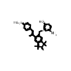 C/C(=C\c1ccc(C(=O)O)cc1)c1cc2c(cc1CC(C)C)C(C)(C)C(C)C2(C)C.Nc1ccc(O)cc1